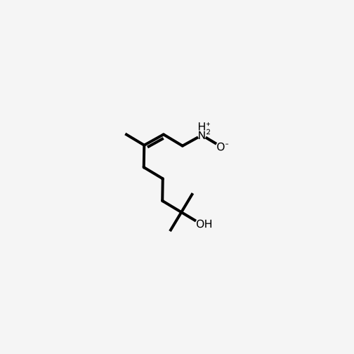 CC(=CC[NH2+][O-])CCCC(C)(C)O